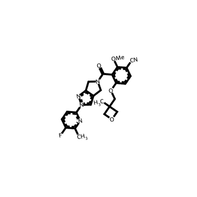 COc1c(C#N)ccc(OCC2(C)COC2)c1C(=O)N1Cc2cn(-c3ccc(F)c(C)n3)nc2C1